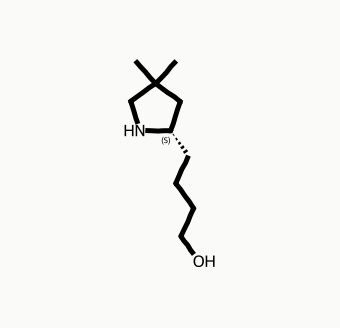 CC1(C)CN[C@@H](CCCCO)C1